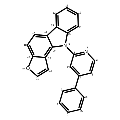 c1ccc(-c2ccnc(-n3c4ccccc4c4ccc5occc5c43)c2)cc1